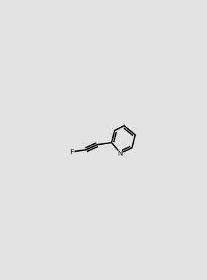 FC#Cc1c[c]ccn1